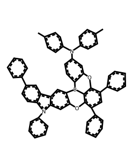 Cc1ccc(N(c2ccc(C)cc2)c2ccc3c(c2)Oc2c(-c4ccccc4)cc(-c4ccccc4)c4c2B3c2cc3c5cc(-c6ccccc6)ccc5n(-c5ccccc5)c3cc2O4)cc1